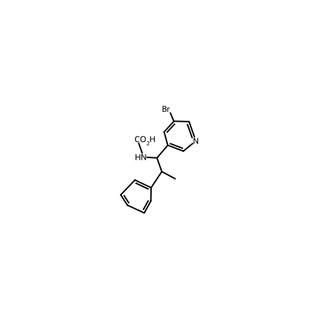 CC(c1ccccc1)C(NC(=O)O)c1cncc(Br)c1